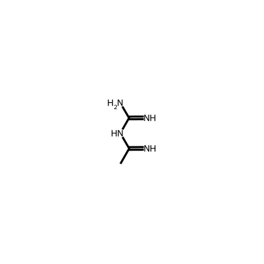 CC(=N)NC(=N)N